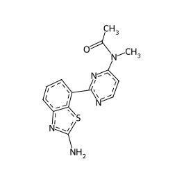 CC(=O)N(C)c1ccnc(-c2cccc3nc(N)sc23)n1